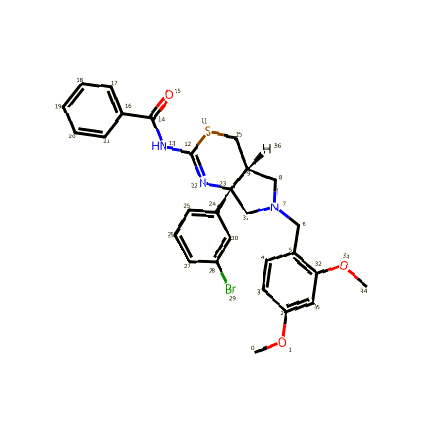 COc1ccc(CN2C[C@H]3CSC(NC(=O)c4ccccc4)=N[C@@]3(c3cccc(Br)c3)C2)c(OC)c1